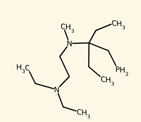 CCN(CC)CCN(C)C(CC)(CC)CP